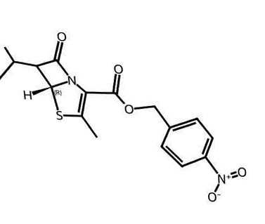 CC1=C(C(=O)OCc2ccc([N+](=O)[O-])cc2)N2C(=O)C(C(C)C)[C@H]2S1